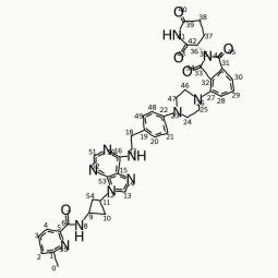 Cc1cccc(C(=O)NC2CC(n3cnc4c(NCc5ccc(N6CCN(c7cccc8c7C(=O)N([C@H]7CCC(=O)NC7=O)C8=O)CC6)cc5)ncnc43)C2)n1